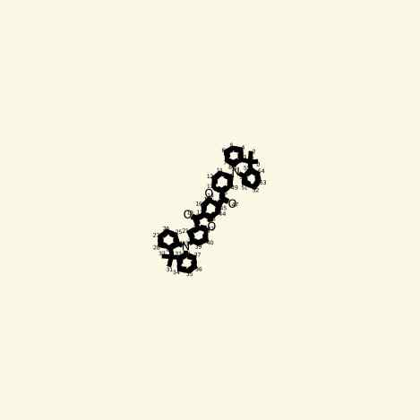 CC1(C)c2ccccc2N(c2ccc3oc4cc5c(=O)c6cc(N7c8ccccc8C(C)(C)c8ccccc87)ccc6oc5cc4c(=O)c3c2)c2ccccc21